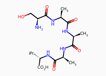 CC(C)[C@H](NC(=O)[C@H](C)NC(=O)[C@H](C)NC(=O)[C@H](C)NC(=O)[C@@H](N)CO)C(=O)O